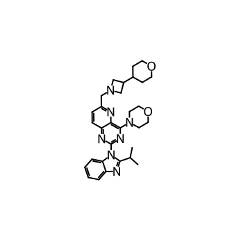 CC(C)c1nc2ccccc2n1-c1nc(N2CCOCC2)c2nc(CN3CC(C4CCOCC4)C3)ccc2n1